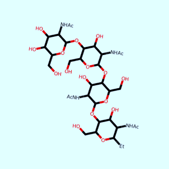 CCC1OC(CO)C(OC2OC(CO)C(OC3OC(CO)C(OC4OC(CO)C(O)C(O)C4NC(C)=O)C(O)C3NC(C)=O)C(O)C2NC(C)=O)C(O)C1NC(C)=O